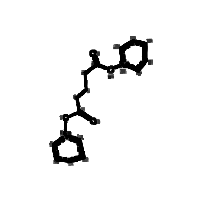 O=C(CCCC(=O)O[n+]1ccccc1)O[n+]1ccccc1